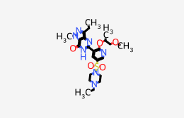 CCc1nn(C)c2c(=O)[nH]c(-c3cc(S(=O)(=O)N4CCN(CC)CC4)cnc3OC(C)COC)nc12